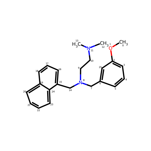 COc1cccc(CN(CCN(C)C)Cc2cccc3ccccc23)c1